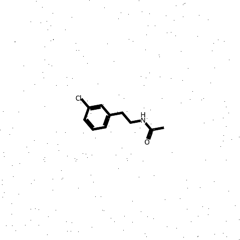 CC(=O)NCCc1cccc(Cl)c1